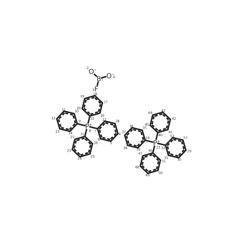 [O-]B([O-])F.c1ccc([P+](c2ccccc2)(c2ccccc2)c2ccccc2)cc1.c1ccc([P+](c2ccccc2)(c2ccccc2)c2ccccc2)cc1